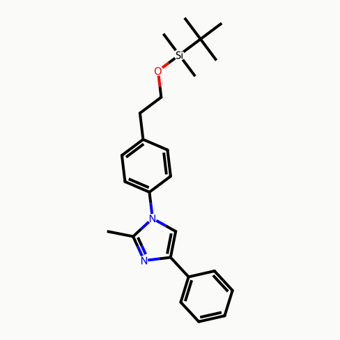 Cc1nc(-c2ccccc2)cn1-c1ccc(CCO[Si](C)(C)C(C)(C)C)cc1